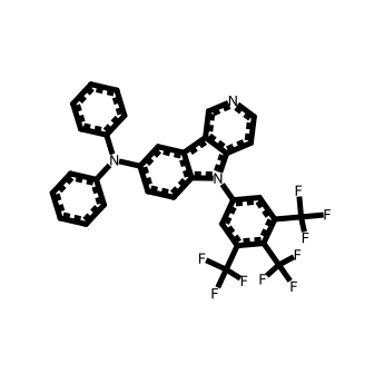 FC(F)(F)c1cc(-n2c3ccncc3c3cc(N(c4ccccc4)c4ccccc4)ccc32)cc(C(F)(F)F)c1C(F)(F)F